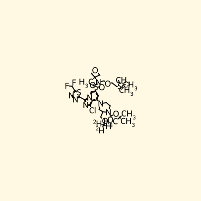 [2H]C([2H])([2H])OCC1CN(c2cc(S(=O)(=O)N(COCC[Si](C)(C)C)C3(C)COC3)cn3c(-c4nnc(C(F)F)s4)nc(Cl)c23)CCN1C(=O)OC(C)(C)C